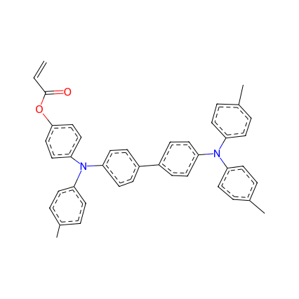 C=CC(=O)Oc1ccc(N(c2ccc(C)cc2)c2ccc(-c3ccc(N(c4ccc(C)cc4)c4ccc(C)cc4)cc3)cc2)cc1